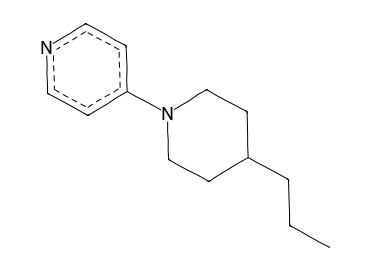 CCCC1CCN(c2ccncc2)CC1